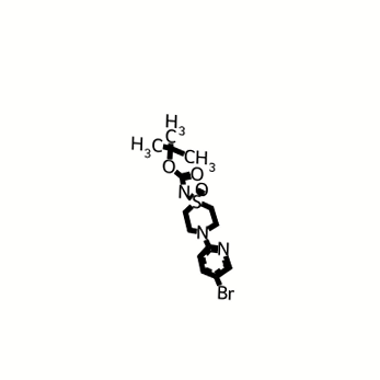 CC(C)(C)OC(=O)N=S1(=O)CCN(c2ccc(Br)cn2)CC1